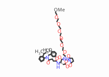 C=CC(C)c1ccccc1N(Cc1ccccc1C)C(=O)CCC(=O)N[C@@H](CC(=O)ON1C(=O)CCC1=O)C(=O)NCCOCCOCCOCCOCCOCCOCCOC